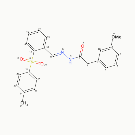 COc1cccc(CC(=O)NN=Cc2ccccc2S(=O)(=O)c2ccc(C)cc2)c1